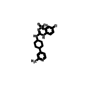 Cc1cc(C2CCC(N/C(=N/S(C)(=O)=O)Nc3ccc(Cl)cc3)CC2)ccn1